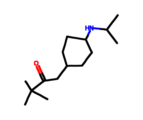 CC(C)NC1CCC(CC(=O)C(C)(C)C)CC1